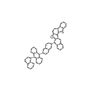 c1ccc2c(-c3c4ccccc4c(-c4ccc5cc(-c6c7ccccc7cc7c6oc6ccc8c9ccccc9sc8c67)ccc5c4)c4ccccc34)cccc2c1